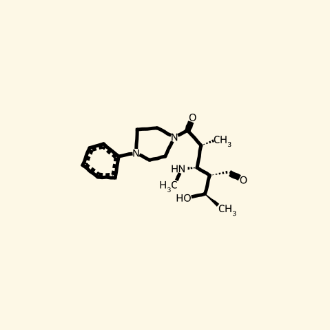 CN[C@@H]([C@H](C=O)[C@@H](C)O)[C@@H](C)C(=O)N1CCN(c2ccccc2)CC1